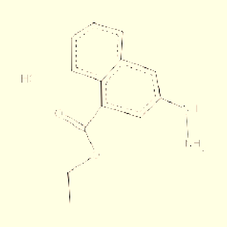 CCOC(=O)c1cc(NN)cc2ccccc12.Cl